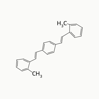 Cc1ccccc1/C=C/c1ccc(/C=C/c2ccccc2C)cc1